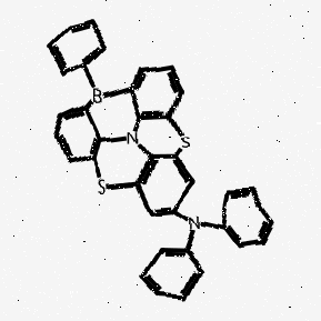 c1ccc(B2c3cccc4c3N3c5c(cc(N(c6ccccc6)c6ccccc6)cc5Sc5cccc2c53)S4)cc1